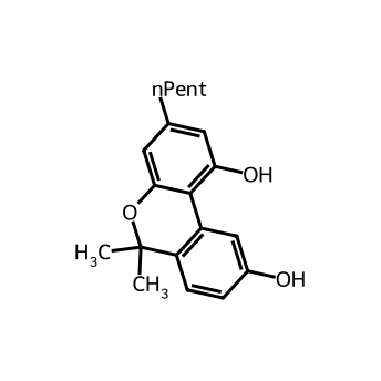 CCCCCc1cc(O)c2c(c1)OC(C)(C)c1ccc(O)cc1-2